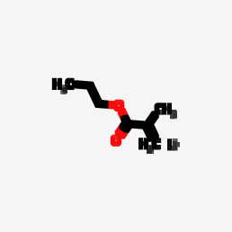 C=C(C)C(=O)OCCC.[Li]